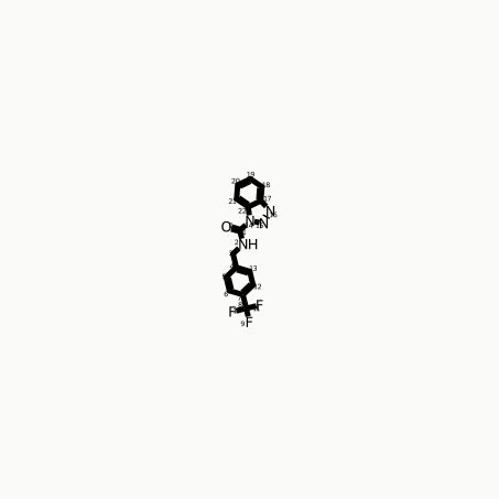 O=C(NCc1ccc(C(F)(F)F)cc1)n1nnc2ccccc21